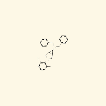 Fc1cccc(F)c1N1CC2C(C1)C2N(Cc1ccccc1)Cc1ccccc1